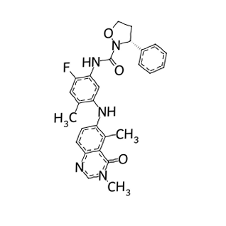 Cc1cc(F)c(NC(=O)N2OCC[C@@H]2c2ccccc2)cc1Nc1ccc2ncn(C)c(=O)c2c1C